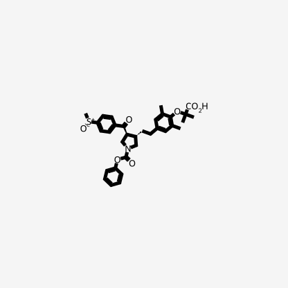 Cc1cc(CC[C@@H]2CN(C(=O)Oc3ccccc3)C[C@H]2C(=O)c2ccc([S+](C)[O-])cc2)cc(C)c1OC(C)(C)C(=O)O